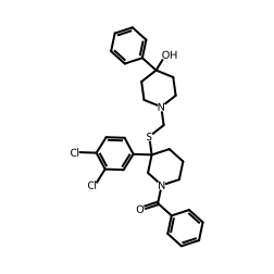 O=C(c1ccccc1)N1CCCC(SCN2CCC(O)(c3ccccc3)CC2)(c2ccc(Cl)c(Cl)c2)C1